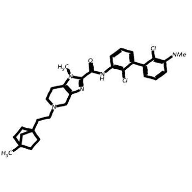 CNc1cccc(-c2cccc(NC(=O)c3nc4c(n3C)CCN(CCC35CCC(C)(CC3)C5)C4)c2Cl)c1Cl